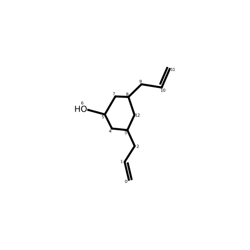 C=CCC1CC(O)CC(CC=C)C1